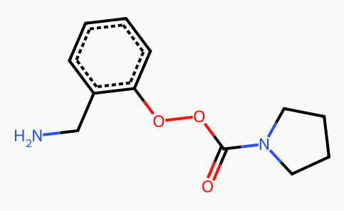 NCc1ccccc1OOC(=O)N1CCCC1